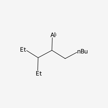 CCCCC[CH]([Al])C(CC)CC